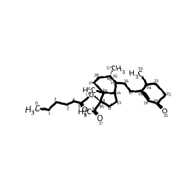 CCCCCC(=O)O[C@]1(C(C)=O)CCC2C(CCC3=CC(=O)CCC3C)[C@@H](C)CCC21C